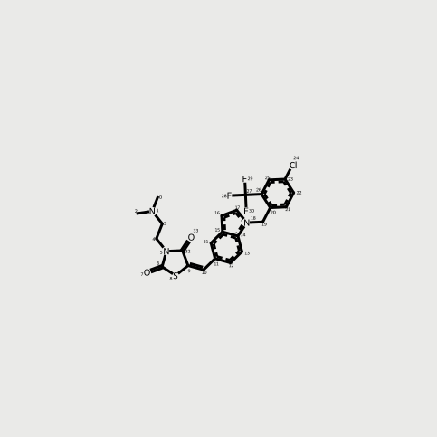 CN(C)CCN1C(=O)SC(=Cc2ccc3c(ccn3Cc3ccc(Cl)cc3C(F)(F)F)c2)C1=O